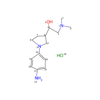 CN(C)CC(O)C1CCN(c2ccc(N)cc2)C1.Cl